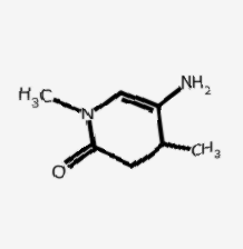 CC1CC(=O)N(C)C=C1N